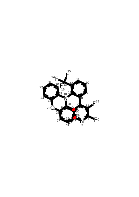 Fc1nc(F)c(F)c(-c2cccc(C(F)(F)F)c2N2c3ccccc3Oc3ccccc32)c1F